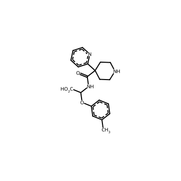 Cc1cccc(OC(NC(=O)C2(c3ccccn3)CCNCC2)C(=O)O)c1